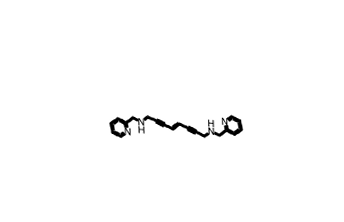 C(#CCNCc1ccccn1)C=CC#CCNCc1ccccn1